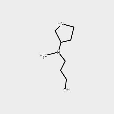 CN(CCCO)C1CCNC1